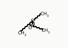 CCCCCCCCC(CC(=O)OCCCCCCC)C(=O)OCCCCCCC